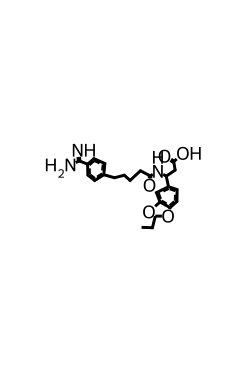 CCC1Oc2ccc(C(CC(=O)O)NC(=O)CCCCc3ccc(C(=N)N)cc3)cc2O1